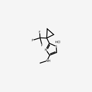 CNc1csc(C2(C(F)(F)F)CC2)n1.Cl